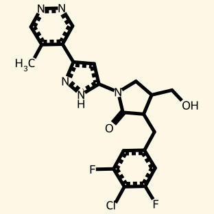 Cc1cnncc1-c1cc(N2CC(CO)C(Cc3cc(F)c(Cl)c(F)c3)C2=O)[nH]n1